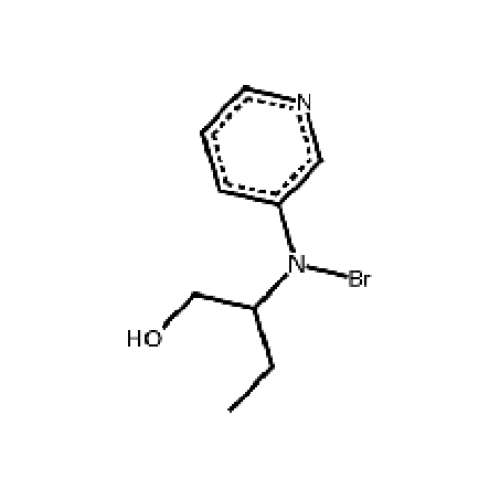 CCC(CO)N(Br)c1cccnc1